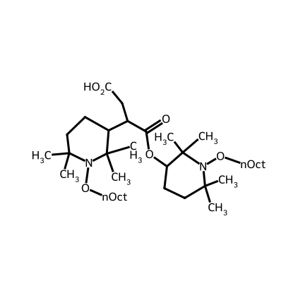 CCCCCCCCON1C(C)(C)CCC(OC(=O)C(CC(=O)O)C2CCC(C)(C)N(OCCCCCCCC)C2(C)C)C1(C)C